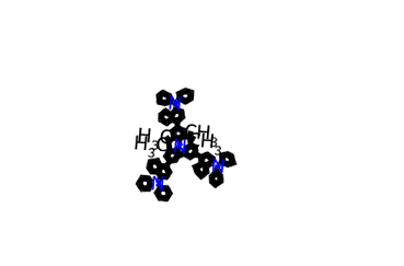 CC1(C)c2cc(-c3ccc(N(c4ccccc4)c4ccccc4)c4ccccc34)cc3c2-n2c4c1cc(-c1ccc(N(c5ccccc5)c5ccccc5)c5ccccc15)cc4c1cc(-c4ccc(N(c5ccccc5)c5ccccc5)c5ccccc45)cc(c12)C3(C)C